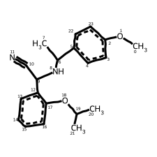 COc1ccc(C(C)NC(C#N)c2ccccc2OC(C)C)cc1